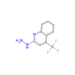 NNc1cc(C(F)(F)F)c2ccccc2n1